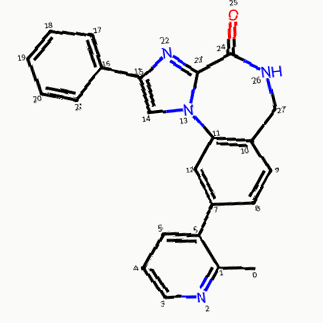 Cc1ncccc1-c1ccc2c(c1)-n1cc(-c3ccccc3)nc1C(=O)NC2